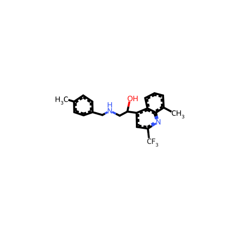 Cc1ccc(CNCC(O)c2cc(C(F)(F)F)nc3c(C)cccc23)cc1